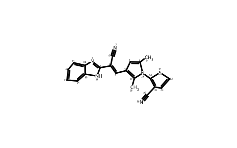 Cc1cc(C=C(C#N)c2nc3ccccc3[nH]2)c(C)n1-c1sccc1C#N